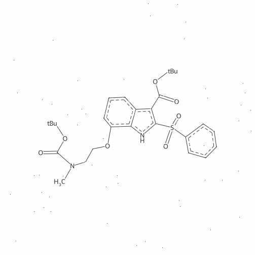 CN(CCOc1cccc2c(C(=O)OC(C)(C)C)c(S(=O)(=O)c3ccccc3)[nH]c12)C(=O)OC(C)(C)C